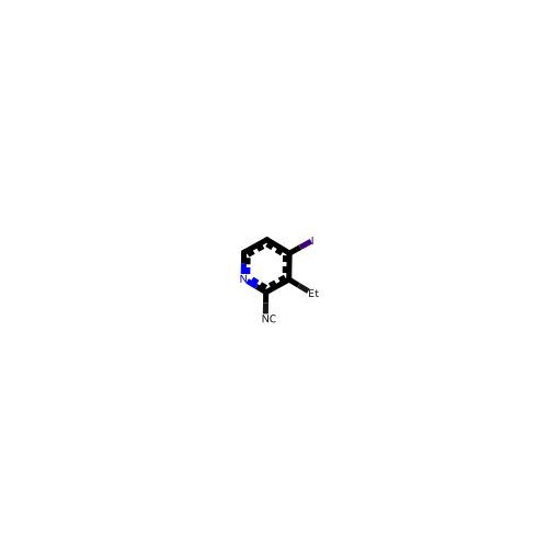 [C-]#[N+]c1nccc(I)c1CC